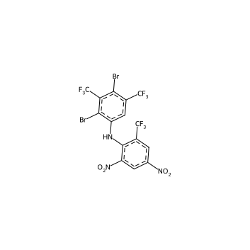 O=[N+]([O-])c1cc([N+](=O)[O-])c(Nc2cc(C(F)(F)F)c(Br)c(C(F)(F)F)c2Br)c(C(F)(F)F)c1